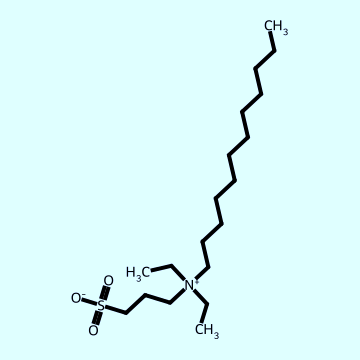 CCCCCCCCCCCC[N+](CC)(CC)CCCS(=O)(=O)[O-]